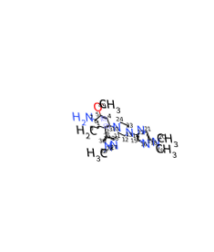 C=C/C(=C(\C=C(/CN)OC)N1CCN(c2cnc(N(C)C)cn2)CC1)c1cnn(C)c1